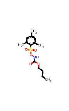 CCCCOC(=O)NOS(=O)(=O)c1c(C)cc(C)cc1C